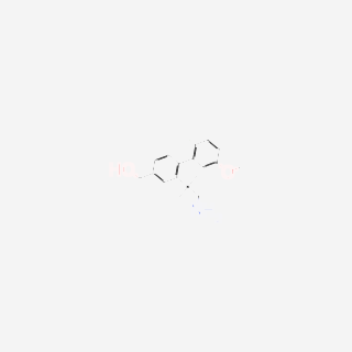 COc1ccc(F)c(-c2ccc(CO)cc2C(C)(C)CN)c1